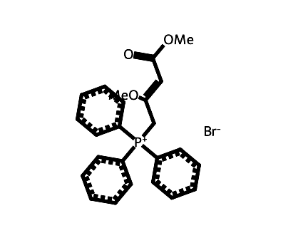 COC(=O)C=C(C[P+](c1ccccc1)(c1ccccc1)c1ccccc1)OC.[Br-]